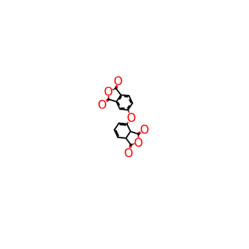 O=C1OC(=O)c2cc(OC3=CC=CC4C(=O)OC(=O)C34)ccc21